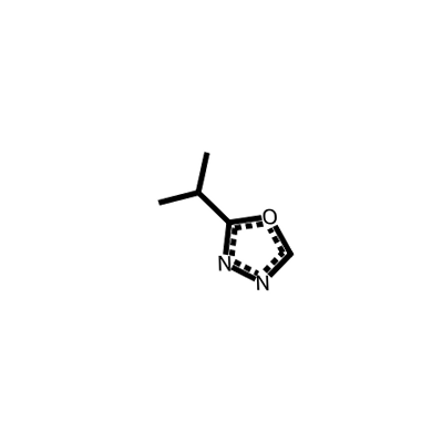 CC(C)c1nnco1